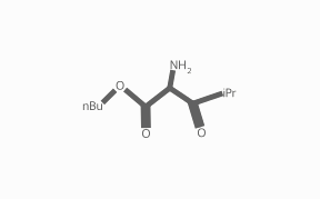 CCCCOC(=O)C(N)C(=O)C(C)C